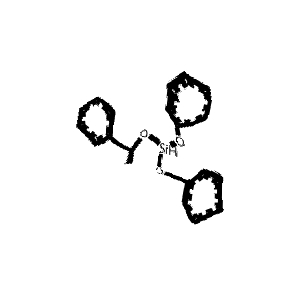 CC(O[SiH](Oc1ccccc1)Oc1ccccc1)c1ccccc1